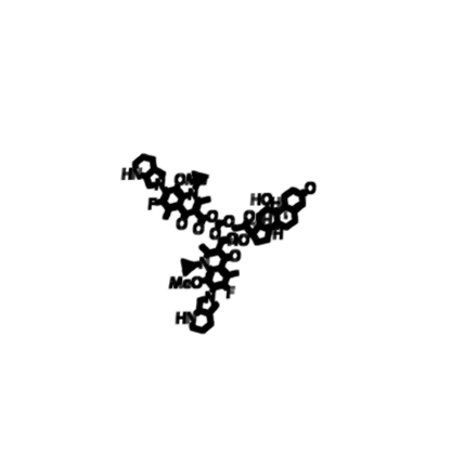 COc1c(N2CC3CCCNC3C2)c(F)c(C)c2c(=O)c(C(=O)OC(OCC(=O)[C@@]3(O)CC[C@H]4[C@@H]5CCC6=CC(=O)CC[C@]6(C)[C@H]5[C@@H](O)C[C@@]43C)OC(=O)c3c(C)n(C4CC4)c4c(OC)c(N5CC6CCCNC6C5)c(F)c(C)c4c3=O)c(C)n(C3CC3)c12